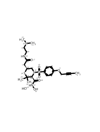 CC#CCOc1ccc(S(=O)(=O)N2C[C@H](CC(=O)NCCN(C)C)SC(C)(C)[C@@H]2C(=O)NO)cc1.Cl